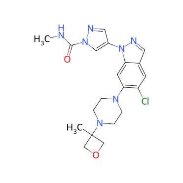 CNC(=O)n1cc(-n2ncc3cc(Cl)c(N4CCN(C5(C)COC5)CC4)cc32)cn1